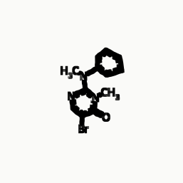 CN(c1ccccc1)c1ncc(Br)c(=O)n1C